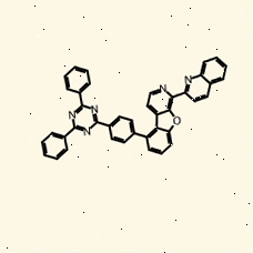 c1ccc(-c2nc(-c3ccccc3)nc(-c3ccc(-c4cccc5oc6c(-c7ccc8ccccc8n7)nccc6c45)cc3)n2)cc1